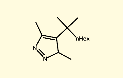 CCCCCCC(C)(C)C1=C(C)N=NC1C